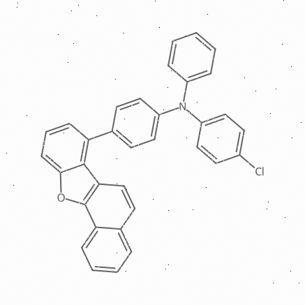 Clc1ccc(N(c2ccccc2)c2ccc(-c3cccc4oc5c6ccccc6ccc5c34)cc2)cc1